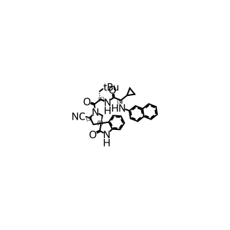 CC(C)(C)C[C@H](NC(=O)[C@@H](Nc1ccc2ccccc2c1)C1CC1)C(=O)N1C[C@]2(C[C@H]1C#N)C(=O)Nc1ccccc12